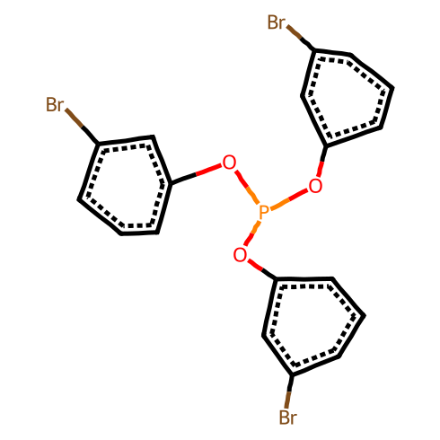 Brc1cccc(OP(Oc2cccc(Br)c2)Oc2cccc(Br)c2)c1